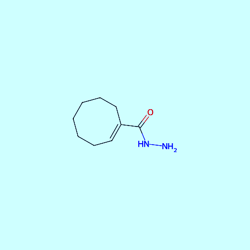 NNC(=O)C1=CCCCCCC1